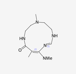 CNC1=C(\C)C(=O)NCCN(C)CCN\C=N\1